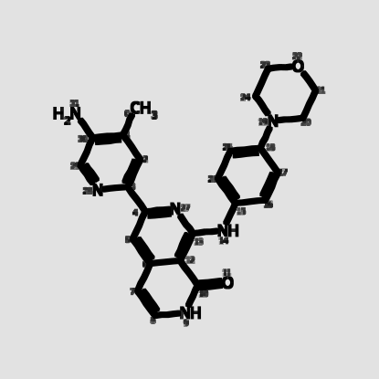 Cc1cc(-c2cc3cc[nH]c(=O)c3c(Nc3ccc(N4CCOCC4)cc3)n2)ncc1N